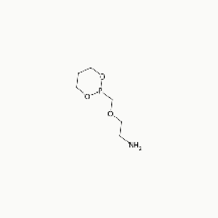 NCCOCP1OCCCO1